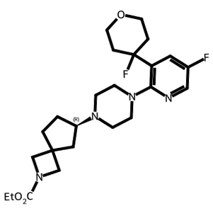 CCOC(=O)N1CC2(CC[C@@H](N3CCN(c4ncc(F)cc4C4(F)CCOCC4)CC3)C2)C1